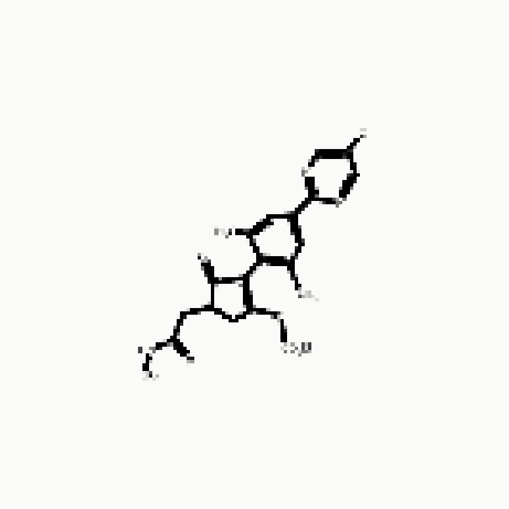 CCOC(=O)OC1=C(c2c(C)cc(-c3ncc(Cl)cn3)cc2C)C(=O)C(CC(=O)NC(C)(C)C)C1